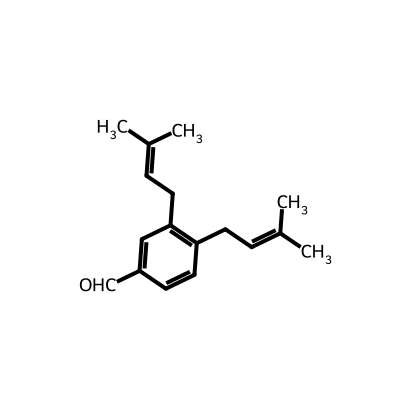 CC(C)=CCc1ccc(C=O)cc1CC=C(C)C